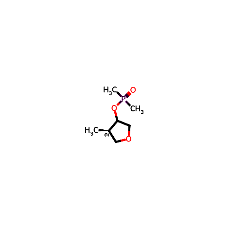 C[C@@H]1COCC1OP(C)(C)=O